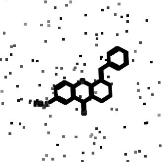 O=C(O)c1ccc2oc3c(c(=O)c2c1)CCCC3=Cc1ccccc1